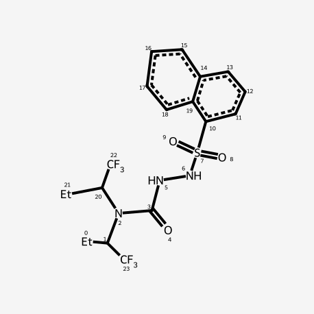 CCC(N(C(=O)NNS(=O)(=O)c1cccc2ccccc12)C(CC)C(F)(F)F)C(F)(F)F